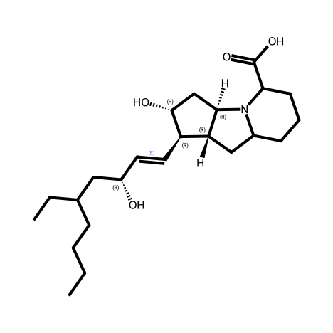 CCCCC(CC)C[C@@H](O)/C=C/[C@@H]1[C@H]2CC3CCCC(C(=O)O)N3[C@@H]2C[C@H]1O